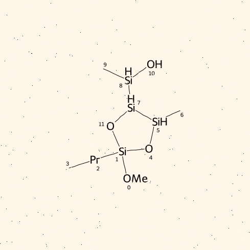 CO[Si]1([Pr][CH3])O[SiH](C)[SiH]([SiH](C)O)O1